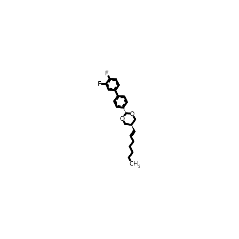 CCCCCC=C[C@H]1CO[C@H](c2ccc(-c3ccc(F)c(F)c3)cc2)OC1